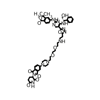 CC1(C)OC(=O)c2ccc(Nc3ncc(-c4nnc(CCNCCOCCOCCN5CCN(c6ccc7c(c6)C(=O)N(C6CCC(=O)NC6=O)C7=O)CC5)o4)c(N[C@H](CO)c4ccccc4)n3)cc21